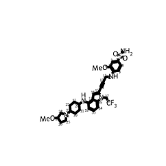 COc1cc(S(N)(=O)=O)ccc1NCC#Cc1cc2c(NC3CCC(N4CCC(OC)C4)CC3)cccc2n1CC(F)(F)F